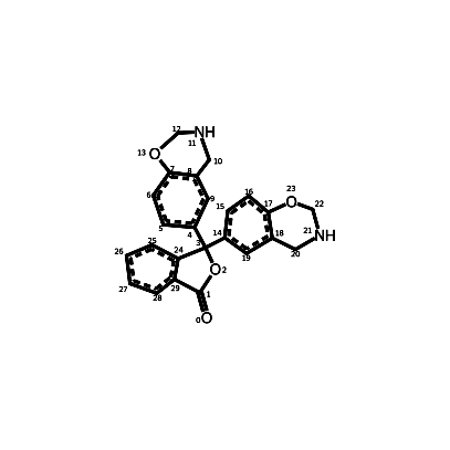 O=C1OC(c2ccc3c(c2)CNCO3)(c2ccc3c(c2)CNCO3)c2ccccc21